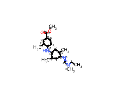 CCN(C)/C=N/c1cc(C)c(Nc2ccc(C(=O)OC)cc2C)cc1C